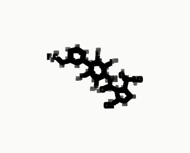 O=NC(=O)C1=C(C(=O)Nc2c(F)c(F)c(-c3cccc(CC(F)(F)F)c3)c(F)c2F)C(N=O)CC1